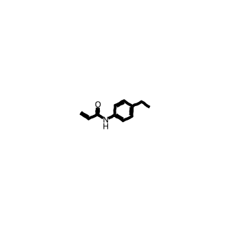 C=CC(=O)Nc1ccc(CC)cc1